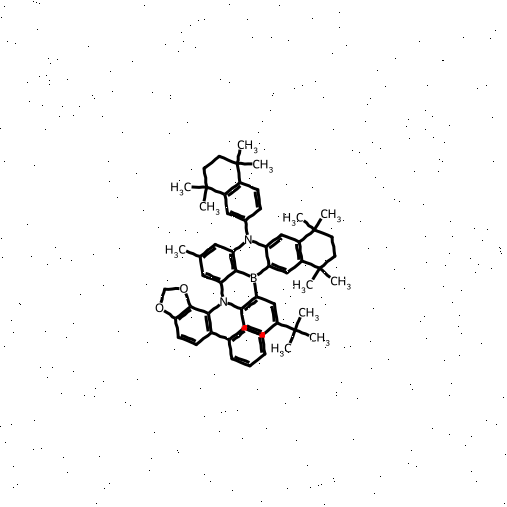 Cc1cc2c3c(c1)N(c1c(-c4ccccc4)ccc4c1OCO4)c1ccc(C(C)(C)C)cc1B3c1cc3c(cc1N2c1ccc2c(c1)C(C)(C)CCC2(C)C)C(C)(C)CCC3(C)C